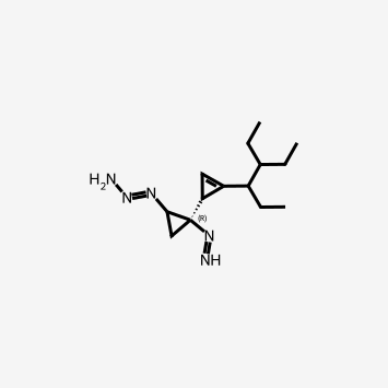 CCC(CC)C(CC)C1=CC1[C@]1(N=N)CC1N=NN